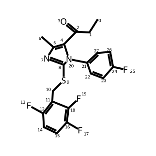 CCC(=O)c1c(C)nc(SCc2c(F)ccc(F)c2F)n1-c1ccc(F)cc1